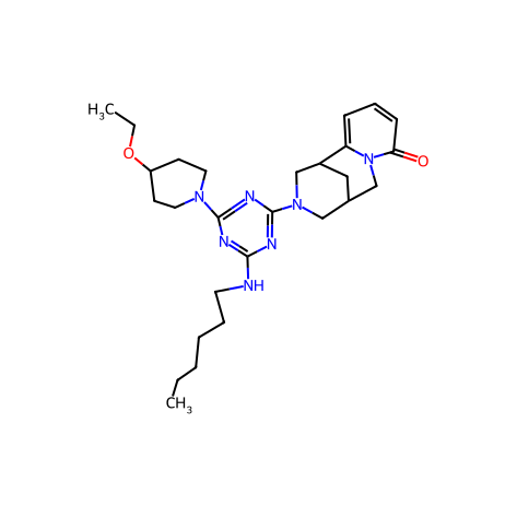 CCCCCCNc1nc(N2CCC(OCC)CC2)nc(N2CC3CC(C2)c2cccc(=O)n2C3)n1